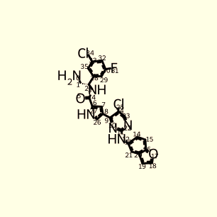 NC[C@@H](NC(=O)c1cc(-c2nc(Nc3ccc4occc4c3)ncc2Cl)c[nH]1)c1cc(F)cc(Cl)c1